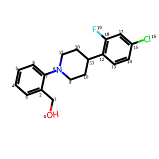 OCc1ccccc1N1CCC(c2ccc(Cl)cc2F)CC1